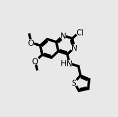 COc1cc2nc(Cl)nc(NCc3cccs3)c2cc1OC